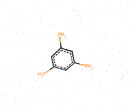 Pc1cc(P)cc(P)c1